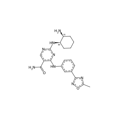 Cc1nc(-c2cccc(Nc3nc(N[C@@H]4CCCC[C@@H]4N)ncc3C(N)=O)c2)no1